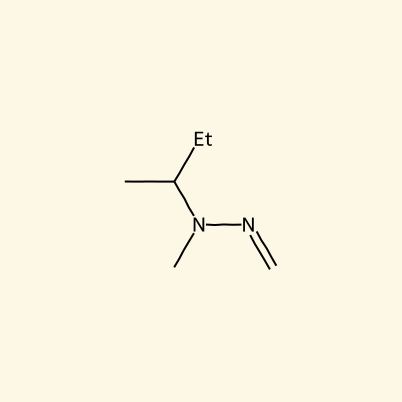 C=NN(C)C(C)CC